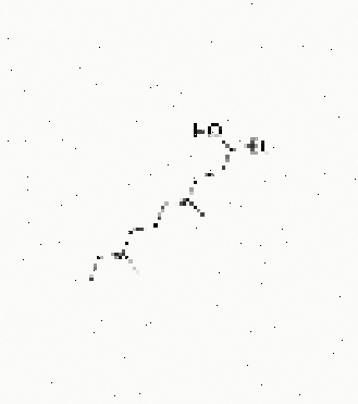 C/C=C(\C)CC/C=C(\C)CCC(O)CC